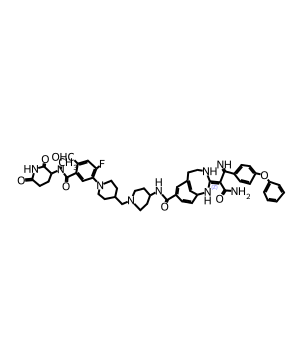 CN(C(=O)c1cc(N2CCC(CN3CCC(NC(=O)C4=CC5=CC(C=C4)N/C(=C(/C(=N)c4ccc(Oc6ccccc6)cc4)C(N)=O)NCC5)CC3)CC2)c(F)cc1C=O)C1CCC(=O)NC1=O